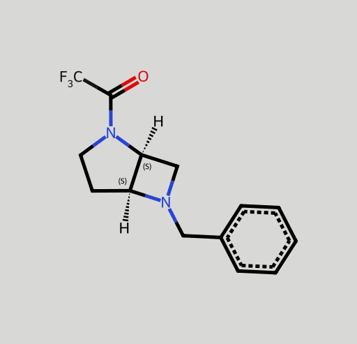 O=C(N1CC[C@H]2[C@@H]1CN2Cc1ccccc1)C(F)(F)F